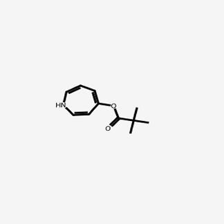 CC(C)(C)C(=O)OC1=CC=CNC=C1